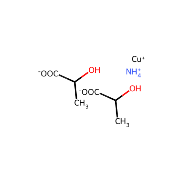 CC(O)C(=O)[O-].CC(O)C(=O)[O-].[Cu+].[NH4+]